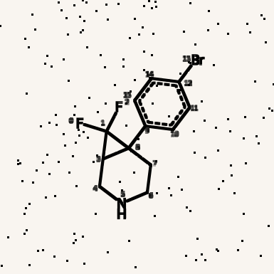 FC1(F)C2CNCCC21c1ccc(Br)cc1